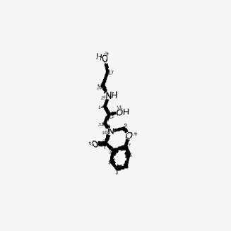 O=C1c2ccccc2OCN1CC(O)CNCCO